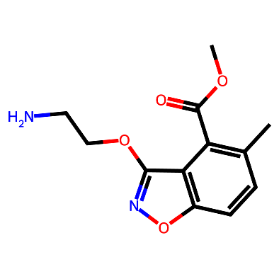 COC(=O)c1c(C)ccc2onc(OCCN)c12